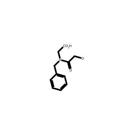 [O]CC(=O)N(CC(=O)O)Cc1ccccc1